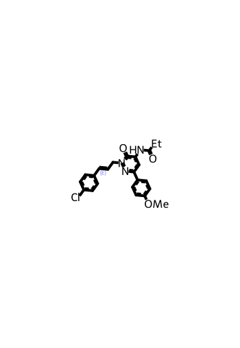 CCC(=O)Nc1cc(-c2ccc(OC)cc2)nn(C/C=C/c2ccc(Cl)cc2)c1=O